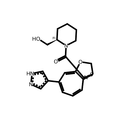 O=C(C1=NC23C=CC=C(c4cn[nH]c4)C=C2OCC3CS1)N1CCCC[C@@H]1CO